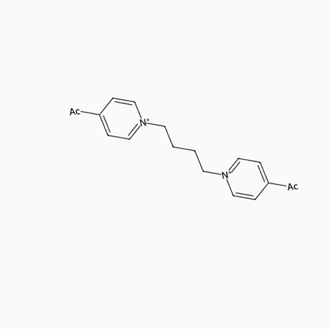 CC(=O)c1cc[n+](CCCC[n+]2ccc(C(C)=O)cc2)cc1